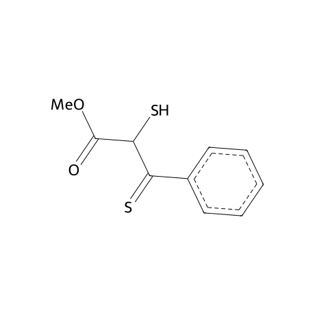 COC(=O)C(S)C(=S)c1ccccc1